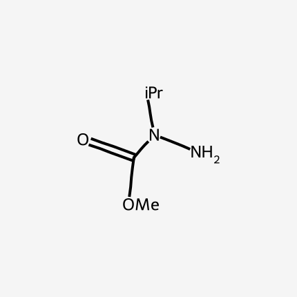 COC(=O)N(N)C(C)C